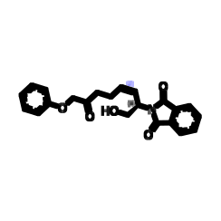 O=C(CC/C=C\[C@H](CO)N1C(=O)c2ccccc2C1=O)COc1ccccc1